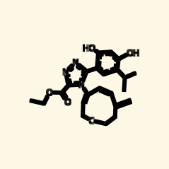 C=C1/C=C\C(n2c(C(=O)OCC)nnc2-c2cc(C(C)C)c(O)cc2O)=C/CCCC1